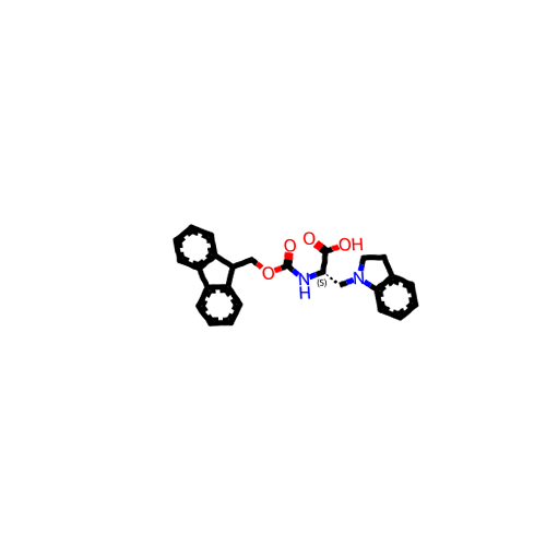 O=C(N[C@@H](CN1CCc2ccccc21)C(=O)O)OCC1c2ccccc2-c2ccccc21